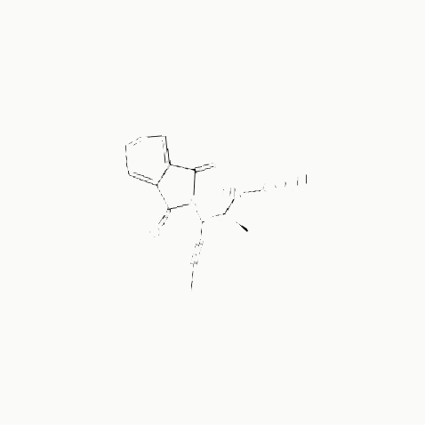 CC#CC([C@H](C)NC(=O)O)N1C(=O)c2ccccc2C1=O